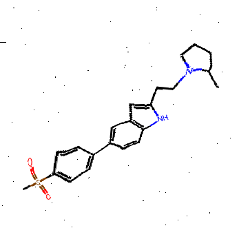 CC1CCCN1CCc1cc2cc(-c3ccc(S(C)(=O)=O)cc3)ccc2[nH]1